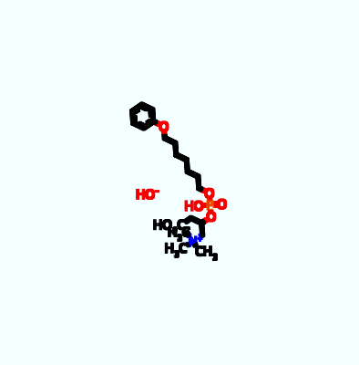 C[N+](C)(C)CC(CC(=O)O)OP(=O)(O)OCCCCCCCOc1ccccc1.[OH-]